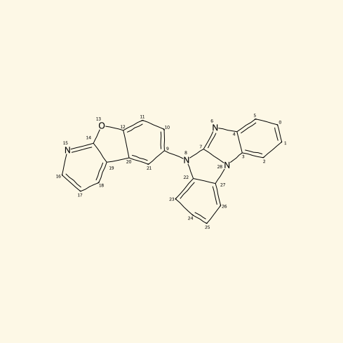 c1ccc2c(c1)nc1n(-c3ccc4oc5ncccc5c4c3)c3ccccc3n21